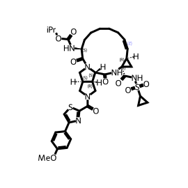 COc1ccc(-c2csc(C(=O)N3C[C@H]4CN5C(=O)[C@@H](NC(=O)OC(C)C)CCCCC/C=C\[C@H]6C[C@@]6(C(=O)NS(=O)(=O)C6CC6)NC(=O)[C@@H]5[C@H]4C3)n2)cc1